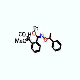 CCO/C(=N/OC(C)c1ccccc1)c1ccccc1C(OC)C(=O)O